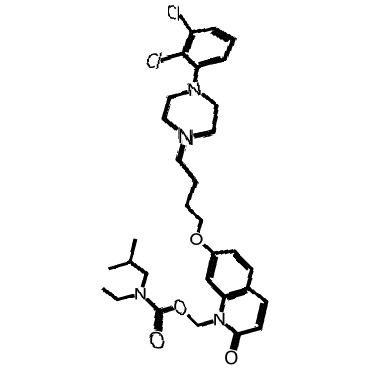 CCN(CC(C)C)C(=O)OCn1c(=O)ccc2ccc(OCCCCN3CCN(c4cccc(Cl)c4Cl)CC3)cc21